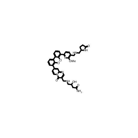 COc1nc(-c2cccc(-c3cccc(-c4ccn5c(=O)c(CNCC(O)CC(N)=O)cnc5c4)c3Cl)c2Cl)ccc1CNCC1CCC(=O)N1